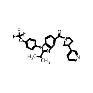 CC(C)c1nc2cc(C(=O)N3CCC(c4cccnc4)C3)ccc2n1-c1ccc(OC(F)(F)F)cc1